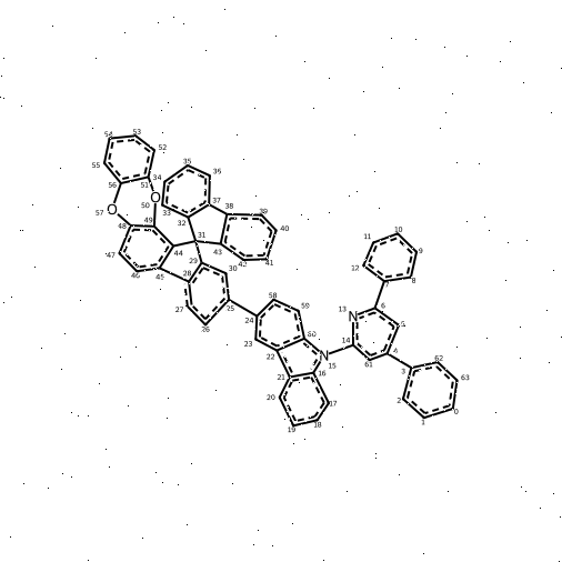 c1ccc(-c2cc(-c3ccccc3)nc(-n3c4ccccc4c4cc(-c5ccc6c(c5)C5(c7ccccc7-c7ccccc75)c5c-6ccc6c5Oc5ccccc5O6)ccc43)c2)cc1